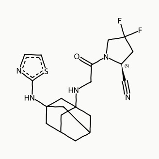 N#C[C@@H]1CC(F)(F)CN1C(=O)CNC12CC3CC(C1)CC(Nc1nccs1)(C3)C2